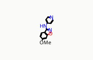 COc1ccc2c(Nc3ccncc3)noc2c1